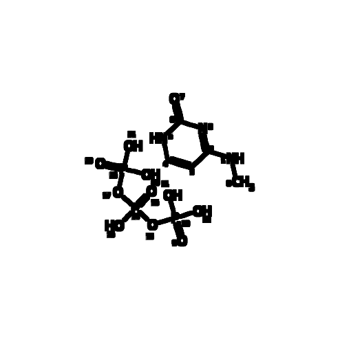 CNc1cc[nH]c(=O)n1.O=P(O)(O)OP(=O)(O)OP(=O)(O)O